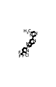 Cc1cncc(-c2cc3nn(-c4ccc(C(F)(F)F)c(Cl)n4)cc3cn2)n1